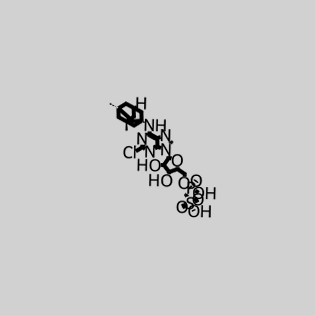 C[C@]12C[C@@H]3C[C@](C)(C1)C[C@@](Nc1nc(Cl)nc4c1ncn4C1OC(COP(=O)(O)CS(=O)(=O)O)C(O)C1O)(C3)C2